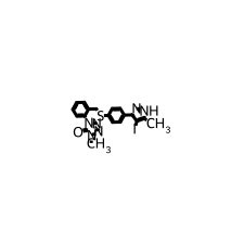 Cc1[nH]nc(-c2ccc(SCc3ccccc3-n3nnn(C)c3=O)cc2)c1I